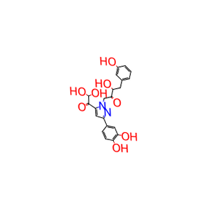 O=C(c1cc(-c2ccc(O)c(O)c2)nn1CC(=O)C(O)Cc1cccc(O)c1)C(O)O